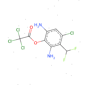 Nc1cc(Cl)c(C(F)F)c(N)c1OC(=O)C(Cl)(Cl)Cl